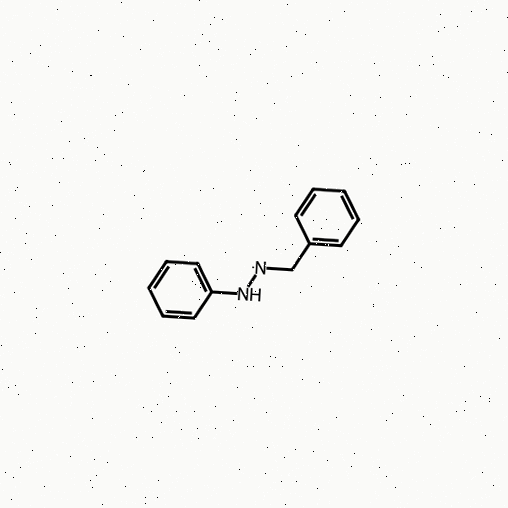 c1ccc(C[N]Nc2ccccc2)cc1